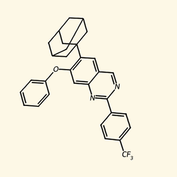 FC(F)(F)c1ccc(-c2ncc3cc(C45CC6CC(CC(C6)C4)C5)c(Oc4ccccc4)cc3n2)cc1